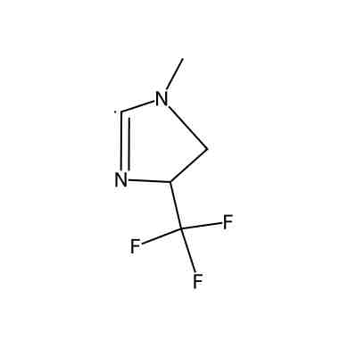 CN1[C]=NC(C(F)(F)F)C1